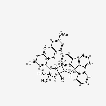 COc1ccc(CN2C(=O)CC(=O)N=C2C2N3C(=O)C(NC(c4ccccc4)(c4ccccc4)c4ccccc4)[C@@H]3SC2(C)C)cc1